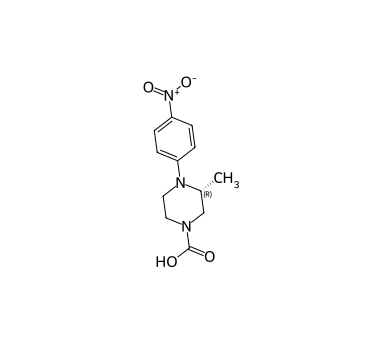 C[C@@H]1CN(C(=O)O)CCN1c1ccc([N+](=O)[O-])cc1